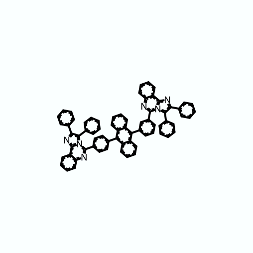 c1ccc(-c2nc3c4ccccc4nc(-c4ccc(-c5c6ccccc6c(-c6cccc(-c7nc8ccccc8c8nc(-c9ccccc9)c(-c9ccccc9)n78)c6)c6ccccc56)cc4)n3c2-c2ccccc2)cc1